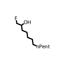 CCCCCCCCCCC(O)CF